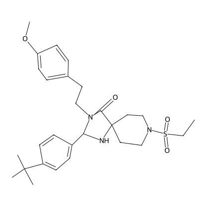 CCS(=O)(=O)N1CCC2(CC1)NC(c1ccc(C(C)(C)C)cc1)N(CCc1ccc(OC)cc1)C2=O